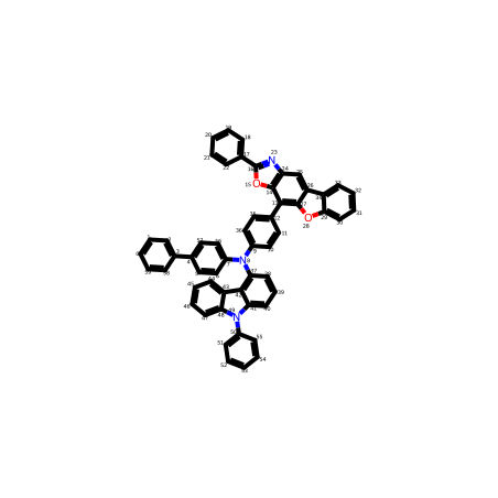 c1ccc(-c2ccc(N(c3ccc(-c4c5oc(-c6ccccc6)nc5cc5c4oc4ccccc45)cc3)c3cccc4c3c3ccccc3n4-c3ccccc3)cc2)cc1